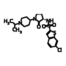 CC(C)N1CCC(N2CC[C@H](NS(=O)(=O)c3cc4ccc(Cl)cc4s3)C2=O)CC1